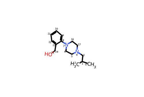 C[C](C)CN1CCN(c2ccccc2CO)CC1